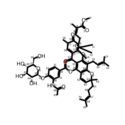 COC(=O)/C(C)=C\CC12OC(C)(C)C(C)C13Oc1c(CC=C(C)C)c4c(c(OC(=O)c5ccc(O[C@@H]6O[C@H](CO)[C@@H](O)[C@H](O)[C@H]6O)c(NC(C)=O)c5)c1C(=O)C3=CC(C)C2=O)C=CC(C)(CCC=C(C)C)O4